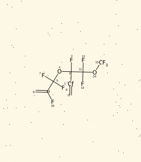 [CH2]=[Cf][C](F)(OC(F)(F)C(=C)F)C(F)(F)OC(F)(F)F